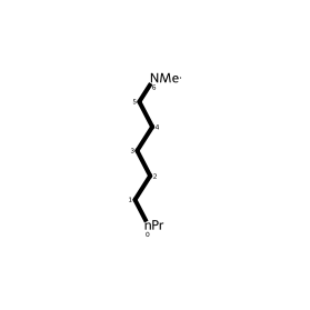 CCCCCCCC[N]C